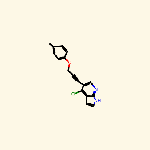 Cc1ccc(OCC#Cc2cnc3[nH]ccc3c2Cl)cc1